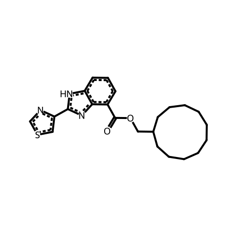 O=C(OCC1CCCCCCCCCC1)c1cccc2[nH]c(-c3cscn3)nc12